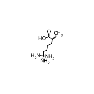 CC=C(CCCCC(N)(N)N)C(=O)O